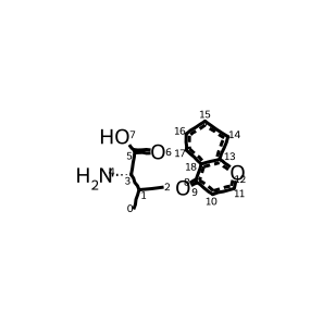 CC(C)[C@H](N)C(=O)O.O=c1ccoc2ccccc12